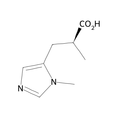 C[C@@H](Cc1cncn1C)C(=O)O